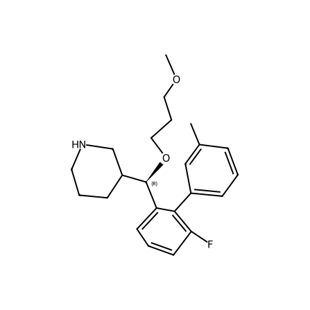 COCCCO[C@@H](c1cccc(F)c1-c1cccc(C)c1)C1CCCNC1